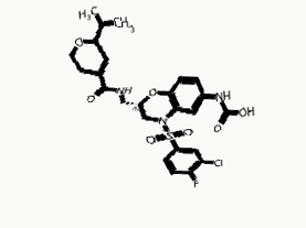 CC(C)C1CC(C(=O)NC[C@H]2CN(S(=O)(=O)c3ccc(F)c(Cl)c3)c3cc(NC(=O)O)ccc3O2)CCO1